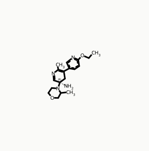 CCOc1ccc(C2=C(C)N=C[C@](N)(N3CCOCC3C)C2)cn1